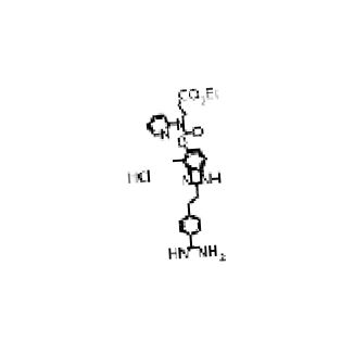 CCOC(=O)CCN(C(=O)Oc1ccc2[nH]c(CCc3ccc(C(=N)N)cc3)nc2c1C)c1ccccn1.Cl